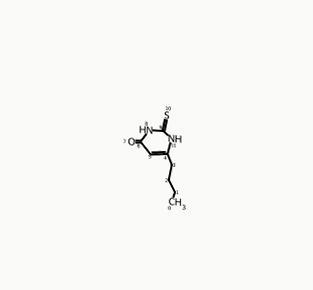 CCCCc1cc(=O)[nH]c(=S)[nH]1